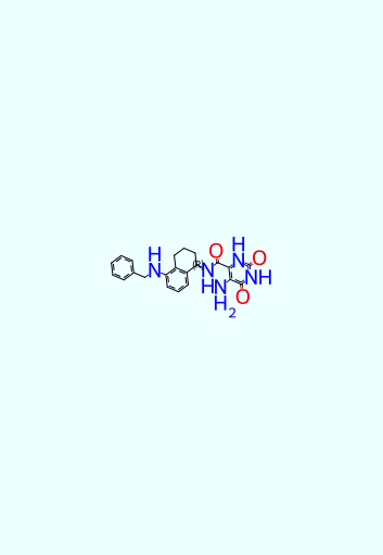 Nc1c(C(=O)N[C@@H]2CCCc3c(NCc4ccccc4)cccc32)[nH]c(=O)[nH]c1=O